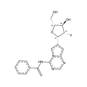 O=C(Nc1ncnc2cc([C@@H]3O[C@H](CO)[C@@H](O)[C@@H]3F)cn12)c1ccccc1